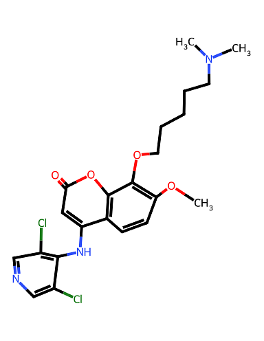 COc1ccc2c(Nc3c(Cl)cncc3Cl)cc(=O)oc2c1OCCCCCN(C)C